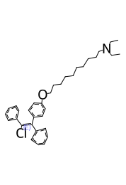 CCN(CC)CCCCCCCCCCOc1ccc(/C(=C(/Cl)c2ccccc2)c2ccccc2)cc1